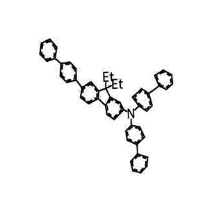 CCC1(CC)c2cc(-c3ccc(-c4ccccc4)cc3)ccc2-c2ccc(N(c3ccc(-c4ccccc4)cc3)c3ccc(-c4ccccc4)cc3)cc21